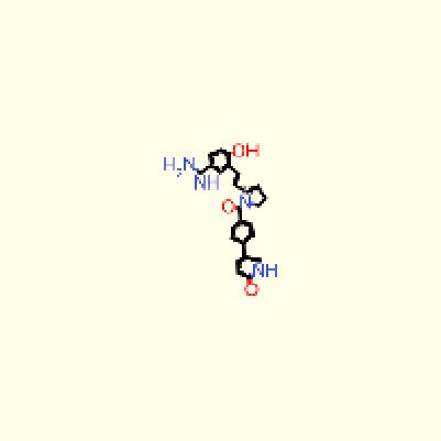 N=C(N)c1ccc(O)c(C=C[C@H]2CCCN2C(=O)c2ccc(-c3ccc(=O)[nH]c3)cc2)c1